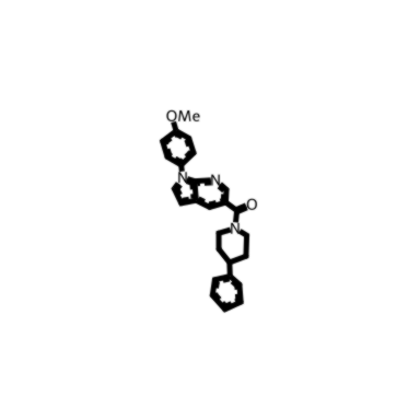 COc1ccc(-n2ccc3cc(C(=O)N4CCC(c5ccccc5)CC4)cnc32)cc1